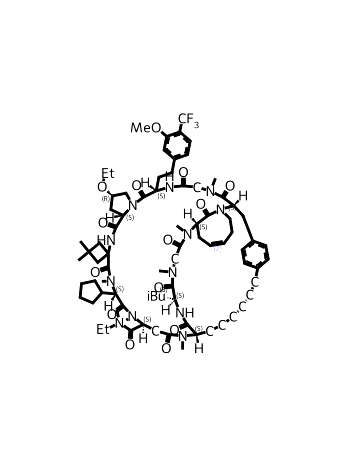 CCO[C@@H]1C[C@H]2C(=O)NC3(CC(C)(C)C3)C(=O)N(C)[C@@H](C3CCCC3)C(=O)N(C)[C@H](C(=O)N(C)CC)CC(=O)N(C)[C@H]3CCCCCCc4ccc(cc4)C[C@@H](C(=O)N(C)CC(=O)N[C@@H](CCc4ccc(C(F)(F)F)c(OC)c4)C(=O)N2C1)N1CC/C=C\C[C@@H](C1=O)N(C)C(=O)CN(C)C(=O)[C@H]([C@@H](C)CC)NC3=O